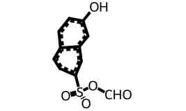 O=COS(=O)(=O)c1ccc2ccc(O)cc2c1